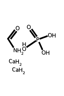 NC=O.O=P(O)(O)O.[CaH2].[CaH2]